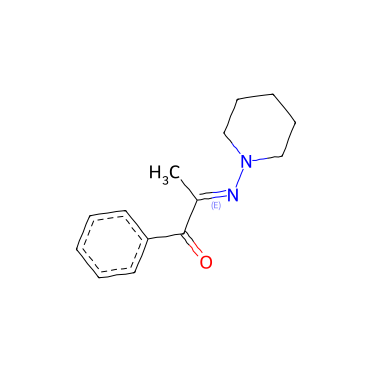 C/C(=N\N1CCCCC1)C(=O)c1ccccc1